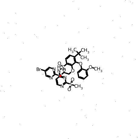 COc1ccccc1Oc1c(C(C)(C)C)ccc(S(=O)(=O)Nc2ccnc(S(C)(=O)=O)n2)c1OCCOc1ncc(Br)cn1